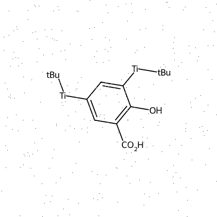 C[C](C)(C)[Ti][c]1c[c]([Ti][C](C)(C)C)c(O)c(C(=O)O)c1